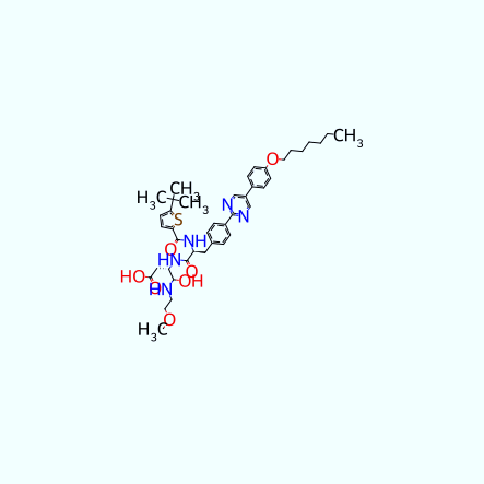 CCCCCCCOc1ccc(-c2cnc(-c3ccc(C[C@H](NC(=O)c4ccc(C(C)(C)C)s4)C(=O)N[C@@H](CC(=O)O)C(O)NCCOC)cc3)nc2)cc1